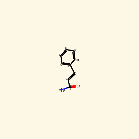 [N]C(=O)C=Cc1ccccc1